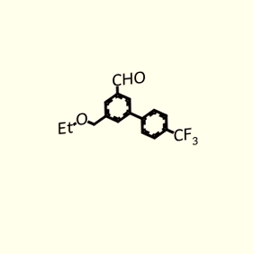 CCOCc1cc(C=O)cc(-c2ccc(C(F)(F)F)cc2)c1